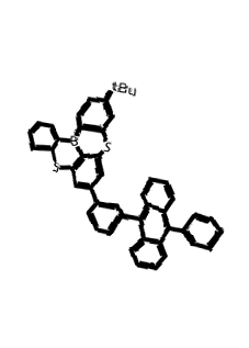 CC(C)(C)c1ccc2c(c1)Sc1cc(-c3cccc(-c4c5ccccc5c(-c5ccccc5)c5ccccc45)c3)cc3c1B2c1ccccc1S3